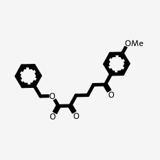 COc1ccc(C(=O)CCCC(=O)C(=O)OCc2ccccc2)cc1